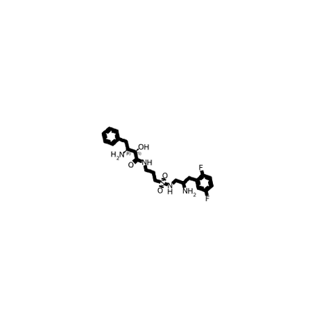 NC(CNS(=O)(=O)CCCNC(=O)[C@@H](O)[C@H](N)Cc1ccccc1)Cc1cc(F)ccc1F